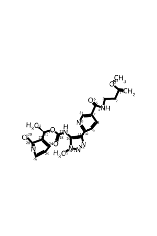 C=C(CCNC(=O)c1ccc(-c2nnn(C)c2NC(=O)O[C@H](C)c2cccnc2Cl)nc1)OC